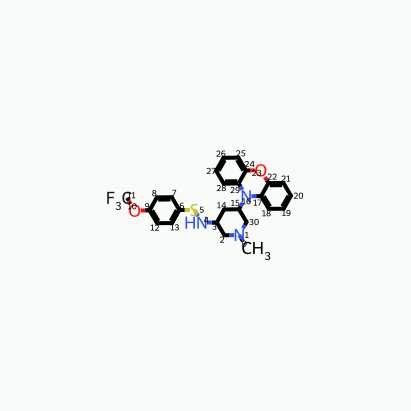 CN1CC(NSc2ccc(OC(F)(F)F)cc2)CC(N2c3ccccc3Oc3ccccc32)C1